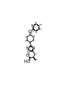 C=C(Cc1nc(C2CCC(Oc3ccccn3)CC2)no1)C(=O)O